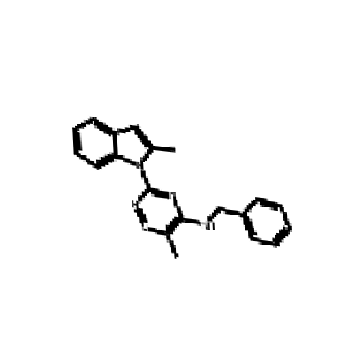 Cc1nnc(-n2c(C)cc3ccccc32)nc1NCc1ccccc1